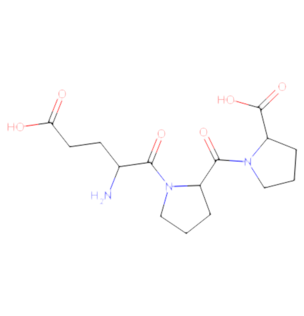 NC(CCC(=O)O)C(=O)N1CCCC1C(=O)N1CCCC1C(=O)O